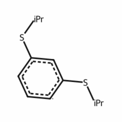 CC(C)Sc1[c]ccc(SC(C)C)c1